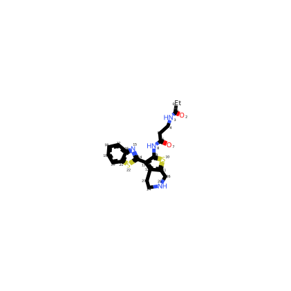 CCC(=O)NCCC(=O)Nc1sc2c(c1-c1nc3ccccc3s1)CCNC2